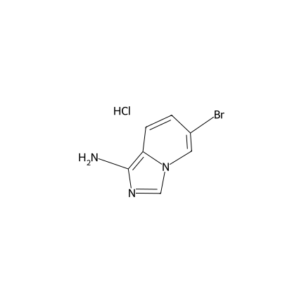 Cl.Nc1ncn2cc(Br)ccc12